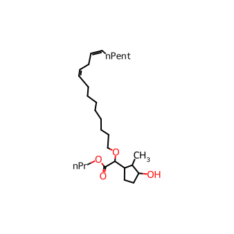 CCCCC/C=C\C/C=C\CCCCCCCCOC(C(=O)OCCC)C1CCC(O)C1C